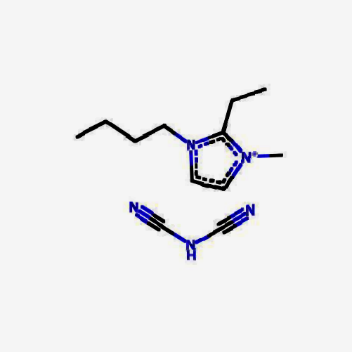 CCCCn1cc[n+](C)c1CC.N#CNC#N